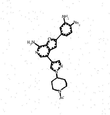 CC(=O)N1CCC(n2cc(-c3cnc(N)c4oc(-c5ccc(N)c(N)c5)cc34)cn2)CC1